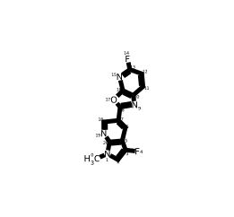 Cn1cc(F)c2cc(-c3nc4ccc(F)nc4o3)cnc21